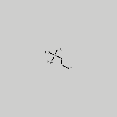 CCCSS[Si](C)(C)O